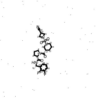 C[C@H](NC(=O)[C@H]1CCCN1C(=O)[C@H]1CCCN(S(=O)(=O)N2CC(C#N)C2)C1)c1cccc(F)c1F